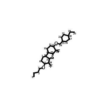 CCCCOC1CCC2C3CCC(OCC4CCC(CC)CC4)C(F)C3SC2C1F